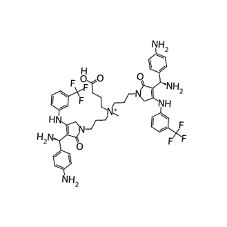 C[N+](CCCC(=O)O)(CCCN1CC(Nc2cccc(C(F)(F)F)c2)=C([C@H](N)c2ccc(N)cc2)C1=O)CCCN1CC(Nc2cccc(C(F)(F)F)c2)=C([C@H](N)c2ccc(N)cc2)C1=O